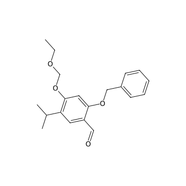 CCOCOc1cc(OCc2ccccc2)c(C=O)cc1C(C)C